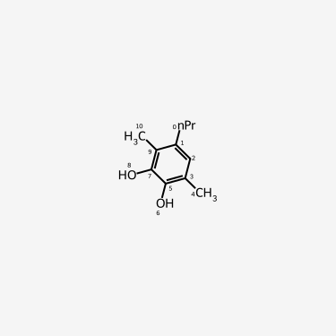 CCCc1cc(C)c(O)c(O)c1C